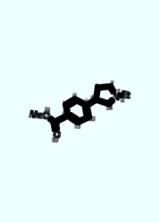 CCN1CCC(c2ccc(C(=O)OC)cc2)C1